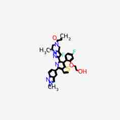 C=CC(=O)N1Cc2cc(-c3nc(-c4ccc5nn(C)cc5c4)c4ccsc4c3-c3c(F)cc(F)cc3OCCO)nn2[C@@H](C)C1